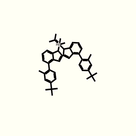 C[C](C)=[Hf]([CH3])([CH3])([CH]1C=Cc2c(-c3ccc(C(C)(C)C)cc3C)cccc21)[CH]1C=Cc2c(-c3ccc(C(C)(C)C)cc3C)cccc21